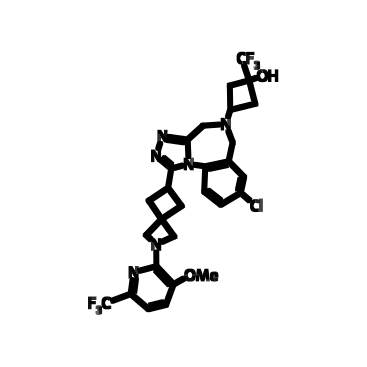 COc1ccc(C(F)(F)F)nc1N1CC2(CC(c3nnc4n3-c3ccc(Cl)cc3CN(C3CC(O)(C(F)(F)F)C3)C4)C2)C1